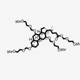 COCCOCOC(=O)CC[C@@H](C)[C@H]1CC[C@H]2[C@@H]3[C@H](OCOCCOC)C[C@@H]4C[C@H](OCOCCOC)CC[C@]4(C)[C@H]3C[C@H](OCOCCOC)[C@]12C